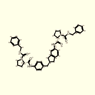 O=C(Nc1ccc(CC2Cc3ccc(NC(=O)[C@@H]4CCCN4C(=O)OCc4ccccc4)cc3C2)cc1)[C@@H]1CCCN1C(=O)OCc1ccccc1